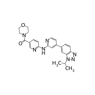 CC(C)n1nnc2ccc(-c3ccnc(Nc4ccc(C(=O)N5CCOCC5)cn4)c3)cc21